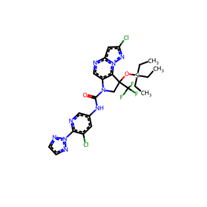 CC[Si](CC)(CC)OC1(C(F)(F)F)CN(C(=O)Nc2cnc(-n3nccn3)c(Cl)c2)c2cnc3cc(Cl)nn3c21